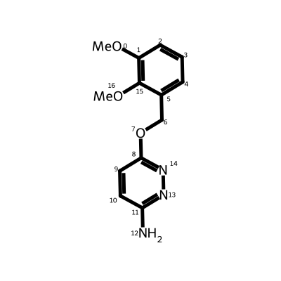 COc1cccc(COc2ccc(N)nn2)c1OC